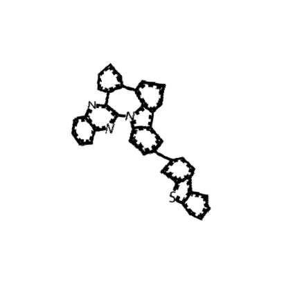 c1ccc2c(c1)-c1nc3ccccc3nc1-n1c3ccc(-c4ccc5c(c4)sc4ccccc45)cc3c3cccc-2c31